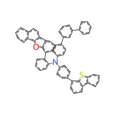 c1ccc(-c2cccc(-c3ccc(N(c4ccc(-c5cccc6c5sc5ccccc56)cc4)c4ccccc4-c4cccc5c4oc4c6ccccc6ccc54)cc3)c2)cc1